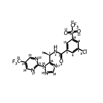 C[C@@H](NC(=O)c1cc(Cl)cc(S(=O)(=O)C(F)(F)F)c1)c1ncnn1-c1ncc(C(F)(F)F)cn1